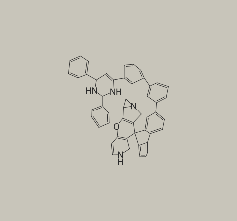 C1=CC2=C(CN1)C1(C3=C(O2)C2CN2C3)c2ccccc2-c2ccc(-c3cccc(-c4cccc(C5=CC(c6ccccc6)NC(c6ccccc6)N5)c4)c3)cc21